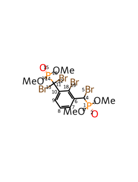 COP(=O)(OC)C(Br)c1cccc(C(Br)(Br)P(=O)(OC)OC)c1Br